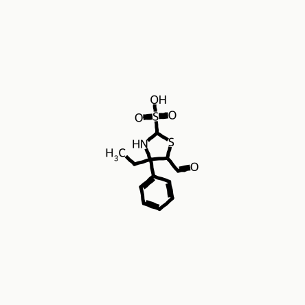 CCC1(c2ccccc2)NC(S(=O)(=O)O)SC1C=O